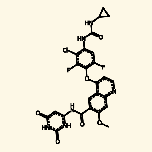 COc1cc2nccc(Oc3c(F)cc(NC(=O)NC4CC4)c(Cl)c3F)c2cc1C(=O)Nc1cc(=O)[nH]c(=O)[nH]1